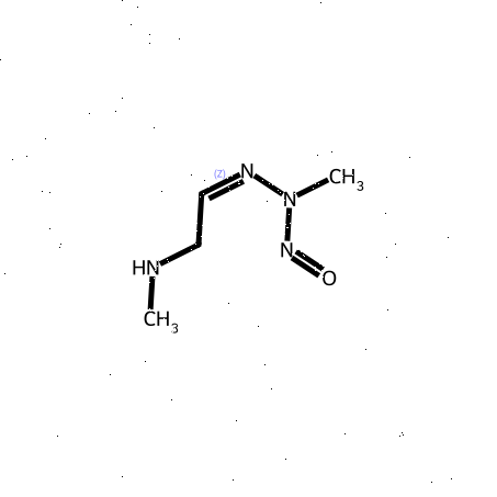 CNC/C=N\N(C)N=O